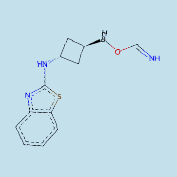 N=COB[C@H]1C[C@H](Nc2nc3ccccc3s2)C1